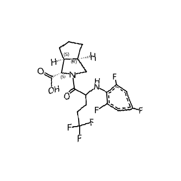 O=C(O)[C@@H]1[C@H]2CCC[C@H]2CN1C(=O)C(CCC(F)(F)F)Nc1c(F)cc(F)cc1F